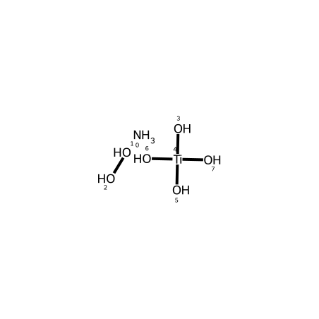 N.OO.[OH][Ti]([OH])([OH])[OH]